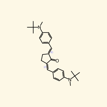 CN(c1ccc(/C=C2/CC/C(=C\c3ccc(N(C)C(C)(C)C)cc3)C2=O)cc1)C(C)(C)C